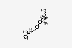 CC(C)Oc1cc(-c2ccc(CCCNC[C@H](O)c3cccnc3)cc2)ccc1C(=O)NS(=O)(=O)CCCO